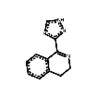 c1ccc2c(c1)CCN=C2c1nc[nH]n1